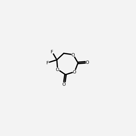 O=C1OCC(F)(F)OC(=O)O1